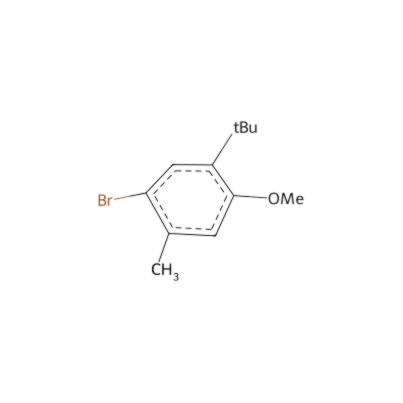 COc1cc(C)c(Br)cc1C(C)(C)C